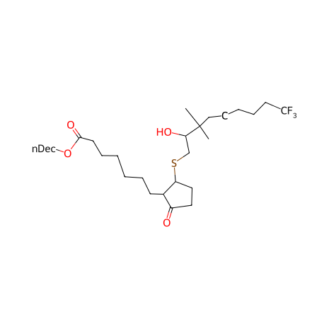 CCCCCCCCCCOC(=O)CCCCCCC1C(=O)CCC1SCC(O)C(C)(C)CCCCCC(F)(F)F